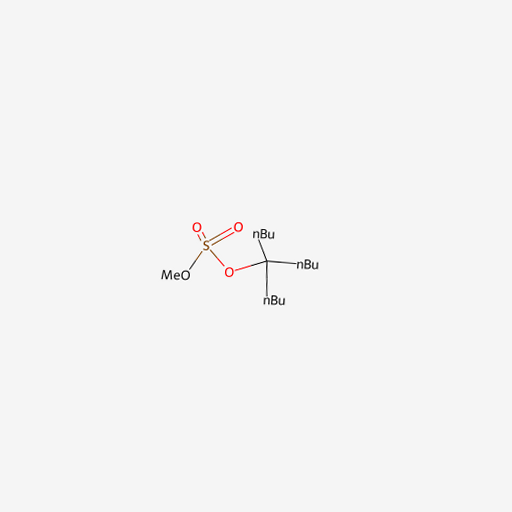 CCCCC(CCCC)(CCCC)OS(=O)(=O)OC